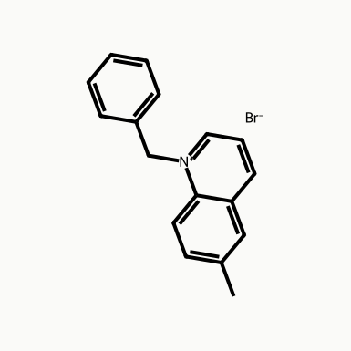 Cc1ccc2c(ccc[n+]2Cc2ccccc2)c1.[Br-]